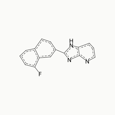 Fc1cccc2ccc(-c3nc4ncccc4[nH]3)cc12